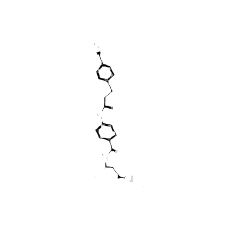 CC(CC(N)=O)NC(=O)c1ccc(NC(=O)CCc2ccc(C#N)cc2)cc1